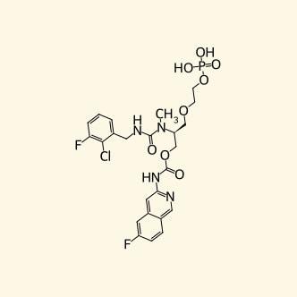 CN(C(=O)NCc1cccc(F)c1Cl)[C@@H](COCCOP(=O)(O)O)COC(=O)Nc1cc2cc(F)ccc2cn1